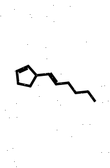 CCCCC=CC1C=[C]CC1